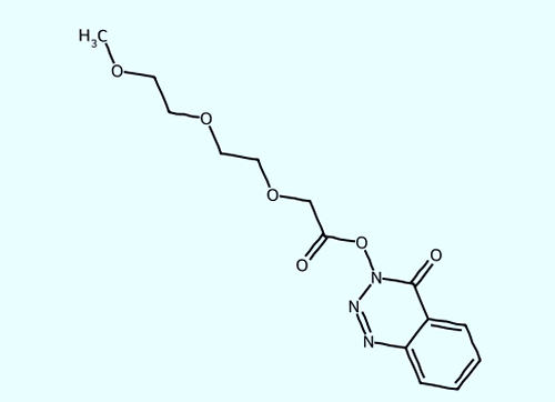 COCCOCCOCC(=O)On1nnc2ccccc2c1=O